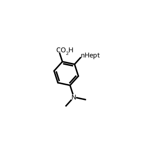 CCCCCCCc1cc(N(C)C)ccc1C(=O)O